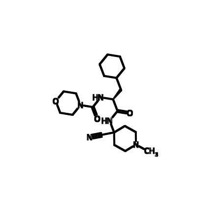 CN1CCC(C#N)(NC(=O)[C@H](CC2CCCCC2)NC(=O)N2CCOCC2)CC1